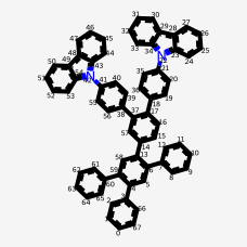 c1ccc(-c2cc(-c3ccccc3)c(-c3ccc(-c4ccc(-n5c6ccccc6c6ccccc65)cc4)c(-c4ccc(-n5c6ccccc6c6ccccc65)cc4)c3)cc2-c2ccccc2)cc1